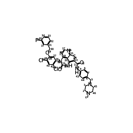 CN1CCN(Cc2ccc(NC(=O)c3sc4ncnc5c4c3NC(=O)N5c3cc(OCc4cccc(F)c4)c(Cl)cc3Cl)cc2)CC1